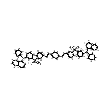 CC1(C)c2cc(/C=C/c3ccc(/C=C/c4ccc5c(c4)C(C)(C)c4cc(N(c6ccccn6)c6nccc7ccccc67)ccc4-5)cc3)ccc2-c2ccc(N(c3ccccn3)c3nccc4ccccc34)cc21